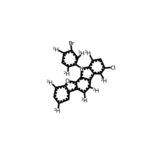 [2H]c1cc([2H])c2oc3c(c([2H])c([2H])c4c5c([2H])c(Cl)cc([2H])c5n(-c5c([2H])cc([2H])c(Br)c5[2H])c34)c2c1